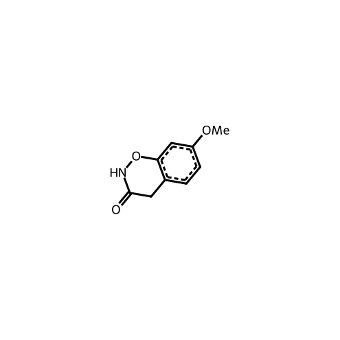 COc1ccc2c(c1)ONC(=O)C2